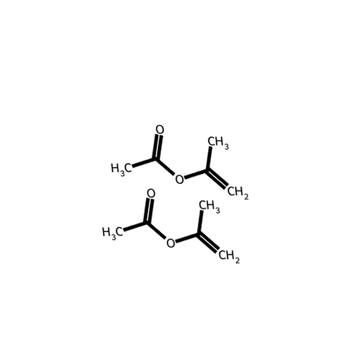 C=C(C)OC(C)=O.C=C(C)OC(C)=O